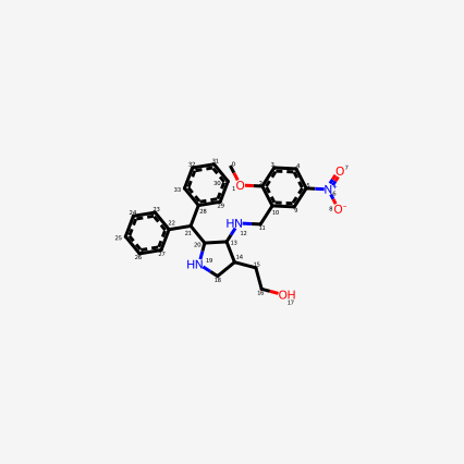 COc1ccc([N+](=O)[O-])cc1CNC1C(CCO)CNC1C(c1ccccc1)c1ccccc1